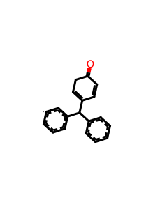 O=C1C=CC(C(c2c[c]ccc2)c2ccccc2)=CC1